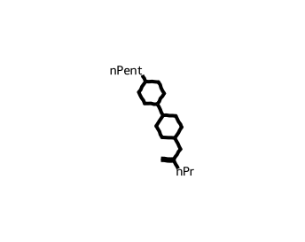 C=C(CCC)CC1CCC(C2CCC(CCCCC)CC2)CC1